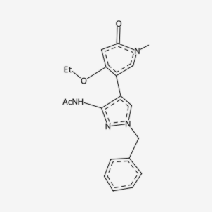 CCOc1cc(=O)n(C)cc1-c1cn(Cc2ccccc2)nc1NC(C)=O